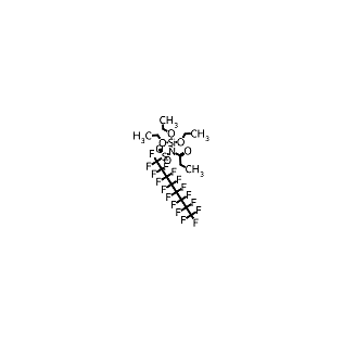 CCO[Si](OCC)(OCC)N(C(=O)CC)S(=O)(=O)C(F)(F)C(F)(F)C(F)(F)C(F)(F)C(F)(F)C(F)(F)C(F)(F)C(F)(F)F